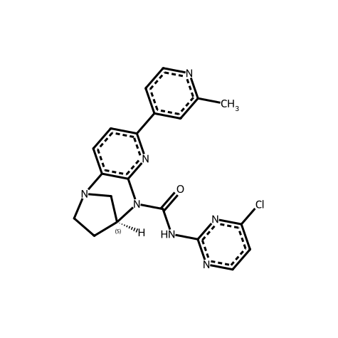 Cc1cc(-c2ccc3c(n2)N(C(=O)Nc2nccc(Cl)n2)[C@H]2CCN3C2)ccn1